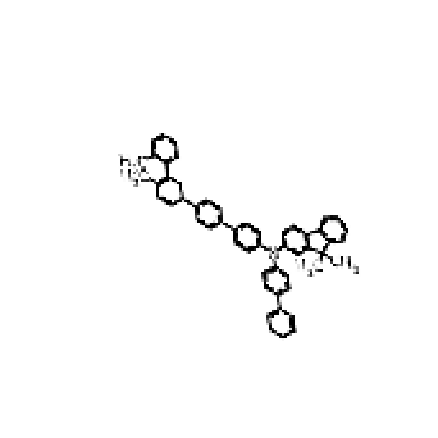 CC1=C(c2ccccc2C)CC(c2ccc(-c3ccc(N(c4ccc(C5=CCCC=C5)cc4)c4ccc5c(c4)C(C)(C)c4ccccc4-5)cc3)cc2)C=C1